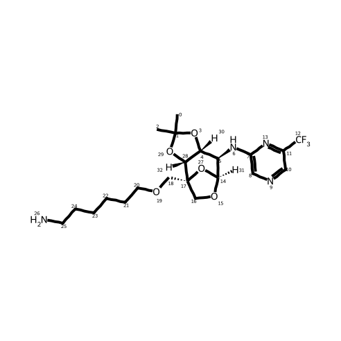 CC1(C)O[C@@H]2[C@@H](Nc3cncc(C(F)(F)F)n3)[C@H]3OC[C@](COCCCCCCN)(O3)[C@@H]2O1